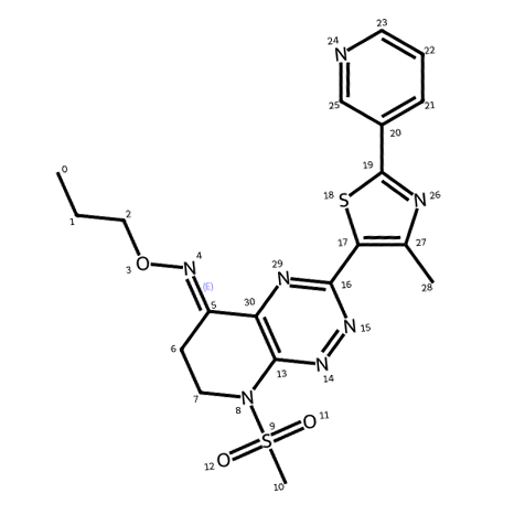 CCCO/N=C1\CCN(S(C)(=O)=O)c2nnc(-c3sc(-c4cccnc4)nc3C)nc21